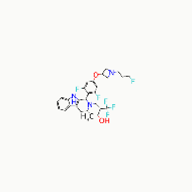 C[C@@H]1Cc2c([nH]c3ccccc23)[C@@H](c2c(F)cc(OC3CN(CCCF)C3)cc2F)N1C[C@@H](CO)C(F)(F)F